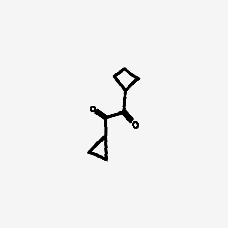 O=C(C(=O)C1CC1)C1CCC1